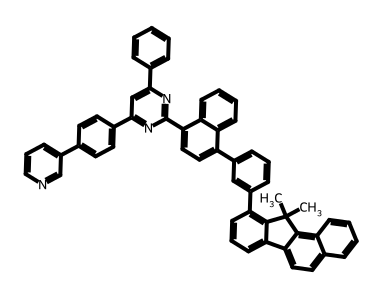 CC1(C)c2c(-c3cccc(-c4ccc(-c5nc(-c6ccccc6)cc(-c6ccc(-c7cccnc7)cc6)n5)c5ccccc45)c3)cccc2-c2ccc3ccccc3c21